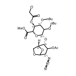 CCCCOC1[C@H](O[C@@H]2C(OC(C)=O)[C@H](N=[N+]=[N-])C3OC[C@H]2O3)OC(C(=O)OC)[C@@H](OC(=O)CCl)[C@@H]1OCCCC